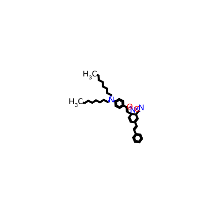 CCCCCCCCN(CCCCCCCC)c1ccc(C=CC2([N+](=O)[O-])C=CC(C=Cc3ccccc3)=CC2C#N)cc1